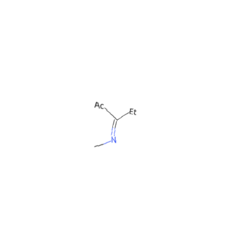 CCC(=NC)C(C)=O